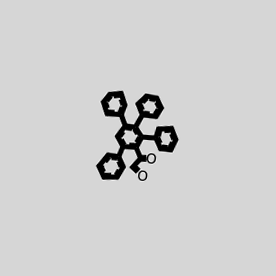 O=CC(=O)c1c(-c2ccccc2)cc(-c2ccccc2)c(-c2ccccc2)c1-c1ccccc1